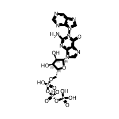 Nc1nc2c(ncn2[C@@H]2O[C@H](COP(=O)(O)OP(=O)(O)OP(=O)(O)O)[C@@H](O)[C@H]2O)c(=O)n1-n1cnc2cncnc21